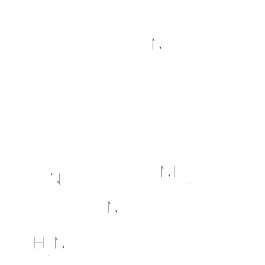 Nc1ncc(CCc2ccccn2)c(N)n1